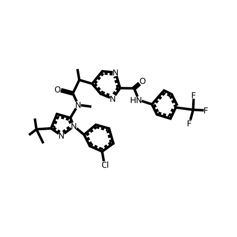 CC(C(=O)N(C)c1cc(C(C)(C)C)nn1-c1cccc(Cl)c1)c1cnc(C(=O)Nc2ccc(C(F)(F)F)cc2)nc1